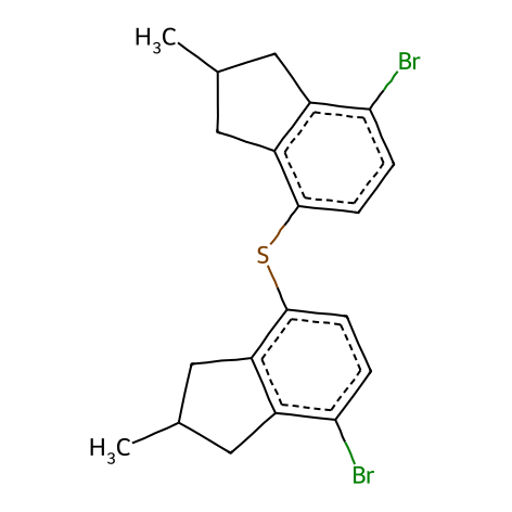 CC1Cc2c(Br)ccc(Sc3ccc(Br)c4c3CC(C)C4)c2C1